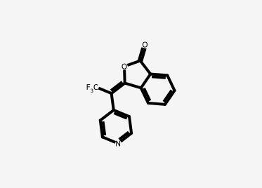 O=C1OC(=C(c2ccncc2)C(F)(F)F)c2ccccc21